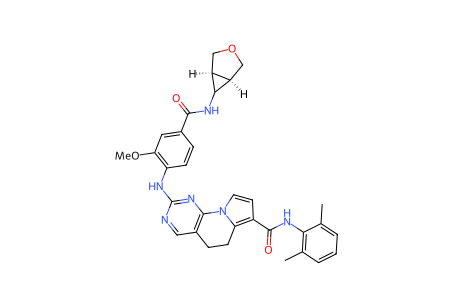 COc1cc(C(=O)NC2[C@H]3COC[C@@H]23)ccc1Nc1ncc2c(n1)-n1ccc(C(=O)Nc3c(C)cccc3C)c1CC2